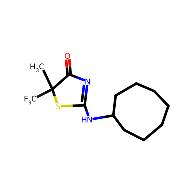 CC1(C(F)(F)F)SC(NC2CCCCCCC2)=NC1=O